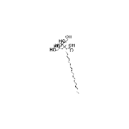 CCCCCCCCCCCCCCCCCCC(C(=O)O)C(CC(O)CO)(CC(O)CO)C(=O)O